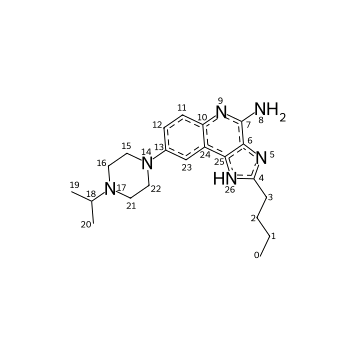 CCCCc1nc2c(N)nc3ccc(N4CCN(C(C)C)CC4)cc3c2[nH]1